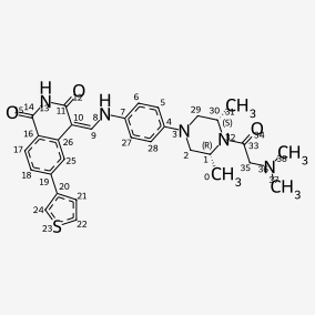 C[C@@H]1CN(c2ccc(NC=C3C(=O)NC(=O)c4ccc(-c5ccsc5)cc43)cc2)C[C@H](C)N1C(=O)CN(C)C